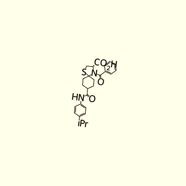 CC(C)c1ccc(NC(=O)C2CCC3(CC2)SC[C@@H](C(=O)O)N3C(=O)c2ccccc2)cc1